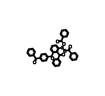 O=C(OB(OC(=O)c1ccccc1)c1cccc(C(=O)c2ccc(C(=O)c3ccccc3)cc2)c1C(=O)c1ccccc1)c1ccccc1